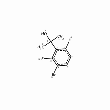 CC(C)(O)c1c(F)ccc(Br)c1F